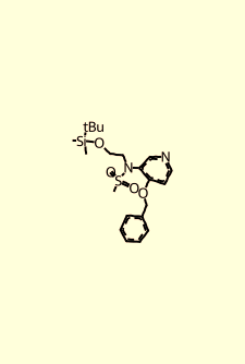 CC(C)(C)[Si](C)(C)OCCN(c1cnccc1OCc1ccccc1)S(C)(=O)=O